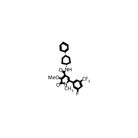 COc1c(C(=O)N[C@H]2CC[C@@H](c3ccccc3)CC2)cc(-c2cc(F)cc(C(F)(F)F)c2)n(C)c1=O